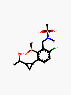 [CH2]C(O)C1CC1c1ccc(Cl)c(CN(C)S(C)(=O)=O)c1[S+](C)[O-]